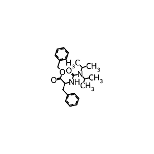 CC(C)N(C(=O)N[C@@H](Cc1ccccc1)C(=O)OCc1ccccc1)C(C)C